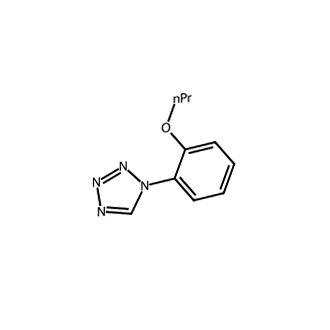 CCCOc1ccccc1-n1cnnn1